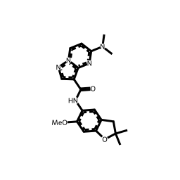 COc1cc2c(cc1NC(=O)c1cnn3ccc(N(C)C)nc13)CC(C)(C)O2